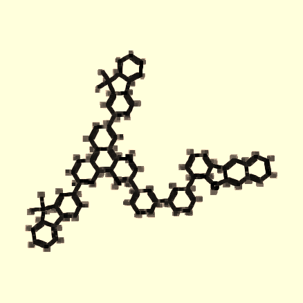 CC1(C)c2ccccc2-c2ccc(-c3ccc4c5ccc(-c6ccc7c(c6)C(C)(C)c6ccccc6-7)cc5c5nc(-c6cccc(-c7cccc(-c8cccc9c8oc8cc%10ccccc%10cc89)c7)c6)cnc5c4c3)cc21